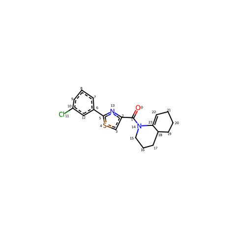 O=C(c1csc(-c2cccc(Cl)c2)n1)N1CCCC2CCCC=C21